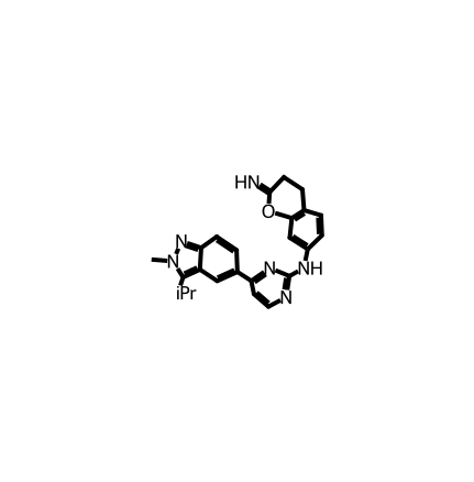 CC(C)c1c2cc(-c3ccnc(Nc4ccc5c(c4)OC(=N)CC5)n3)ccc2nn1C